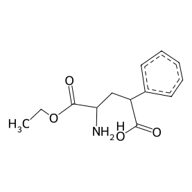 CCOC(=O)C(N)CC(C(=O)O)c1ccccc1